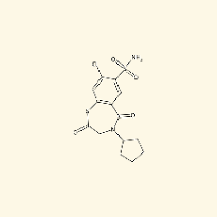 NS(=O)(=O)c1cc2c(cc1Cl)SC(=O)CN(C1CCCC1)C2=O